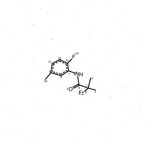 CCC(C)(C)C(=O)Nc1cc(C)ccc1F